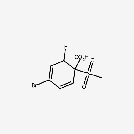 CS(=O)(=O)C1(C(=O)O)C=CC(Br)=CC1F